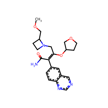 COCC1CCN1CC(OC1CCOC1)=C(C(N)=O)c1ccc2ncncc2c1